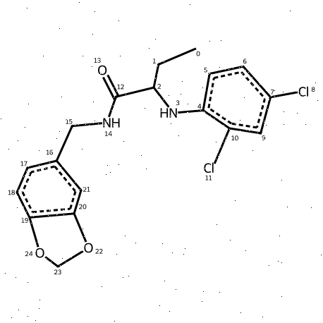 CCC(Nc1ccc(Cl)cc1Cl)C(=O)NCc1ccc2c(c1)OCO2